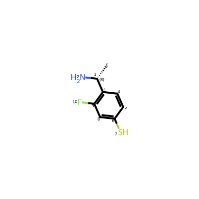 C[C@@H](N)c1ccc(S)cc1F